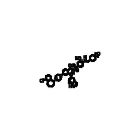 O=C(NS(=O)(=O)c1ccc(NCC2CCC3(CC2)COC3)c([N+](=O)[O-])c1)c1ccc(N2CCN(C3CCCCc4c(Cl)cccc43)CC2)cc1Oc1cnc2[nH]ccc2c1